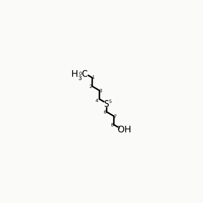 CCCCCSCCCO